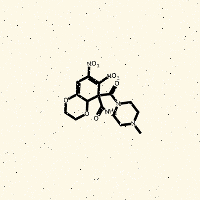 CN1CCN(C(=O)C2(C(N)=O)C([N+](=O)[O-])=C([N+](=O)[O-])C=C3OCCOC32)CC1